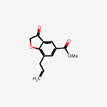 C=CCc1cc(C(=O)OC)cc2c1OCC2=O